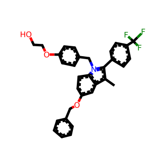 Cc1c(-c2ccc(C(F)(F)F)cc2)n(Cc2ccc(OCCO)cc2)c2ccc(OCc3ccccc3)cc12